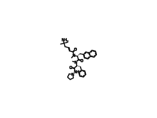 CN(C(=O)C=CCC(C)(C)N)[C@H](Cc1ccc2ccccc2c1)C(=O)N(C)[C@H](Cc1ccccc1)C(=O)NN1CCCC1